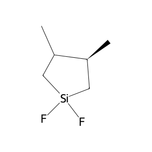 CC1C[Si](F)(F)C[C@@H]1C